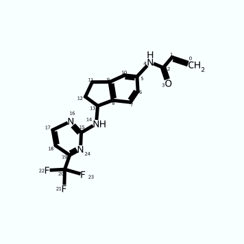 C=CC(=O)Nc1ccc2c(c1)CCC2Nc1nccc(C(F)(F)F)n1